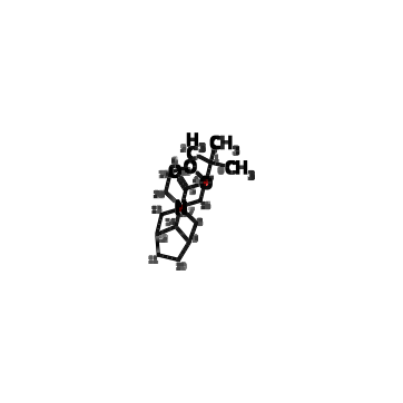 CC(C)(C)OC(=O)N1CC2CCC(C1)C2N1CCOCC1